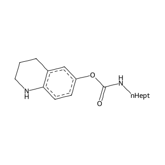 CCCCCCCNC(=O)Oc1ccc2c(c1)CCCN2